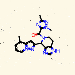 Cc1nc(C(=O)N2CCc3[nH]cnc3C2c2cc3c(C)cccn3n2)n(C)n1